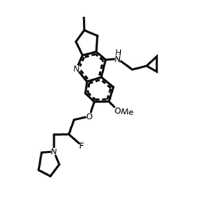 COc1cc2c(NCC3CC3)c3c(nc2cc1OCC(F)CN1CCCC1)CC(C)C3